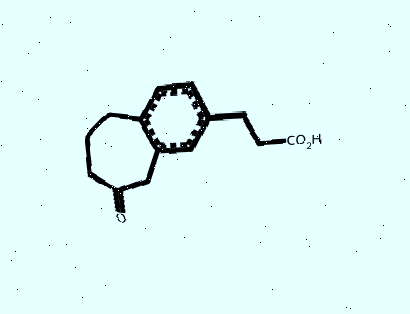 O=C(O)CCc1ccc2c(c1)CC(=O)CCC2